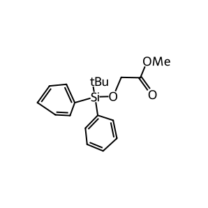 COC(=O)CO[Si](c1ccccc1)(c1ccccc1)C(C)(C)C